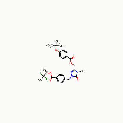 CCCn1c(COC(=O)c2ccc(OC(C)(C)C(=O)O)cc2)nn(Cc2ccc(C(=O)O[C@H](C)C(F)(F)C(F)(F)F)cc2)c1=O